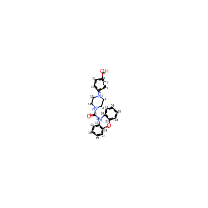 O=C(N1CCN(c2ccc(O)cc2)CC1)N1c2ccccc2Oc2ccccc21